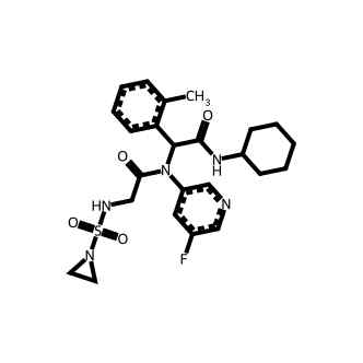 Cc1ccccc1C(C(=O)NC1CCCCC1)N(C(=O)CNS(=O)(=O)N1CC1)c1cncc(F)c1